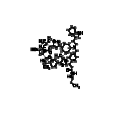 CCCNNC(=O)/C=C/c1ccc(CN(CCc2c[nH]c3ccccc23)C2CCCC(c3cc([C@H](C(=O)N4C[C@H](O)C[C@H]4C(=O)N[C@@H](C)c4ccc(-c5scnc5C)cc4)C(C)(C)C)on3)CC2)cc1